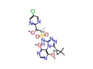 COc1ncnc(OC)c1-n1c(NS(=O)(=O)[C@@H](C)[C@H](OC)c2ncc(Cl)cn2)nnc1[C@@H]1CC1(C)C